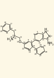 Nc1n[nH]c2ccc(-c3cc(OC[C@@H](N)Cc4ccccc4)cnc3-c3ccccc3)cc12